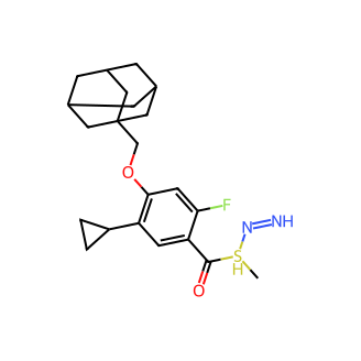 C[SH](N=N)C(=O)c1cc(C2CC2)c(OCC23CC4CC(CC(C4)C2)C3)cc1F